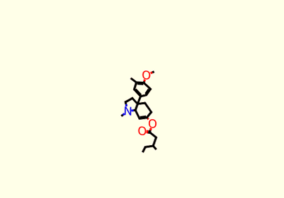 CCC(C)CC(=O)OC1=CC2N(C)CCC2(c2ccc(OC)c(C)c2)CC1